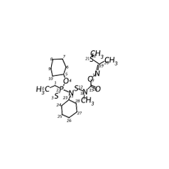 CCP(=S)(OC1CCCCC1)N(SN(C)C(=O)ON=C(C)SC)C1CCCCC1